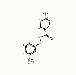 CCN1CCN(C(=O)COc2cccc([N+](=O)[O-])c2)CC1